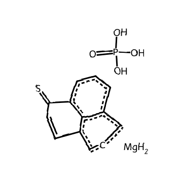 O=P(O)(O)O.S=C1C=Cc2cccc3cccc1c23.[MgH2]